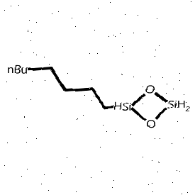 CCCCCCCC[SiH]1O[SiH2]O1